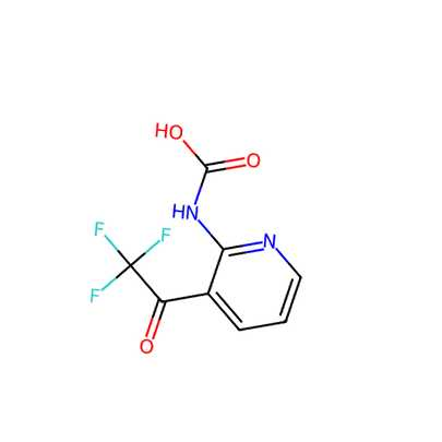 O=C(O)Nc1ncccc1C(=O)C(F)(F)F